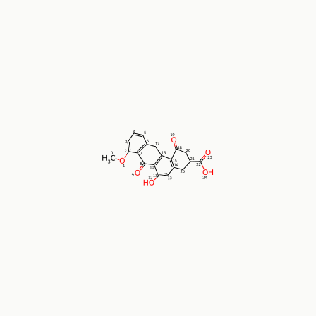 COc1cccc2c1C(=O)c1c(O)cc3c(c1C2)C(=O)CC(C(=O)O)C3